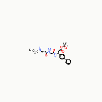 CCOC(=O)NCCC(=O)NCC(=O)NC(CC(=O)OC(=O)C(F)(F)F)c1ccc(-c2ccccc2)cc1